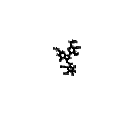 Nc1nc2c(c(CNC3[C@H](O)[C@H](O)[C@H]4O[C@@H]34)cn2C2OC(CO)C(O)C2O)c(=O)[nH]1